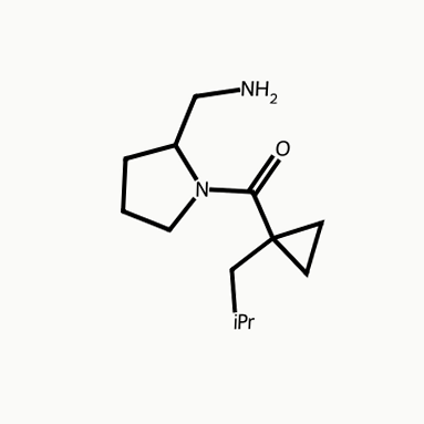 CC(C)CC1(C(=O)N2CCCC2CN)CC1